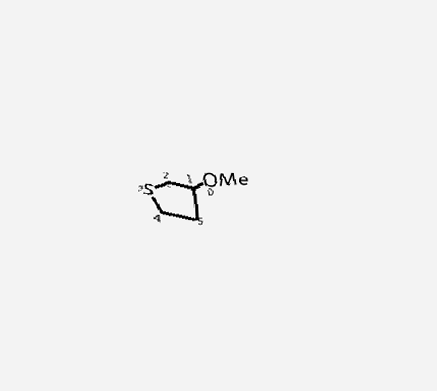 COC1[CH]SCC1